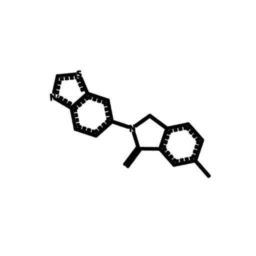 C=C1c2cc(C)ccc2CN1c1ccc2ncsc2c1